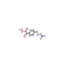 CCOC(=O)C(=O)c1ccc(CCCN(C)C)cc1